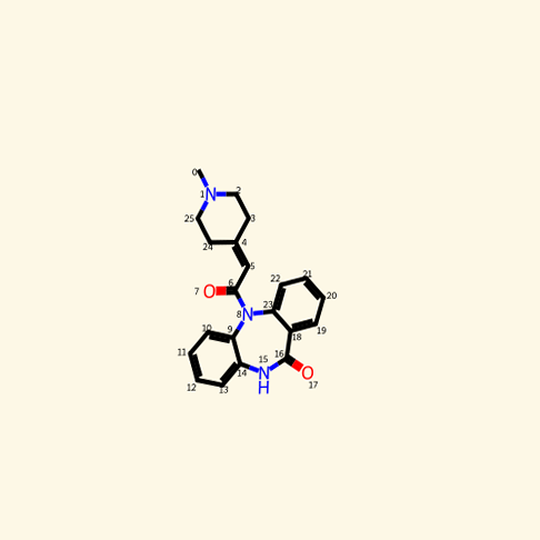 CN1CCC(=CC(=O)N2c3ccccc3NC(=O)c3ccccc32)CC1